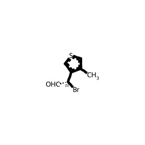 Cc1cscc1[C@H](Br)C=O